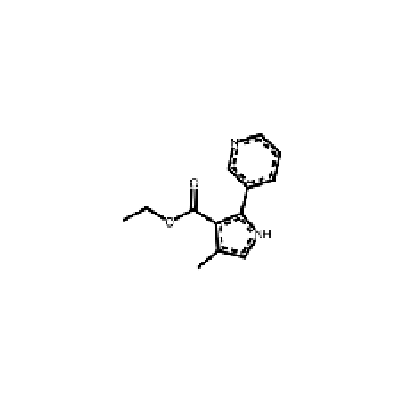 CCOC(=O)c1c(C)c[nH]c1-c1cccnc1